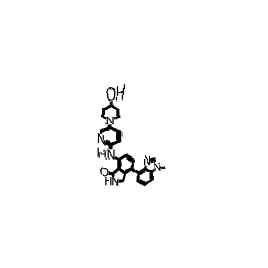 Cn1cnc2c(-c3ccc(Nc4ccc(N5CCC(O)CC5)cn4)c4c3CNC4=O)cccc21